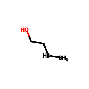 BBCCO